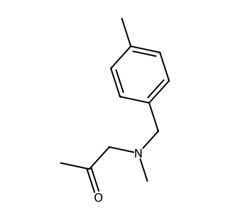 CC(=O)CN(C)Cc1ccc(C)cc1